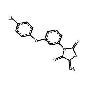 C=C1SC(=S)N(c2cccc(Oc3ccc(Cl)cc3)c2)C1=O